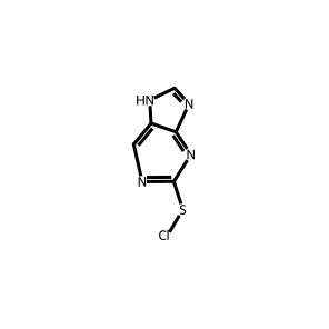 ClSc1ncc2[nH]cnc2n1